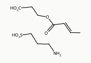 CC=CC(=O)OCCC(=O)O.NCCCS(=O)(=O)O